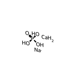 O=P(O)(O)O.[CaH2].[Na]